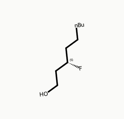 CCCCCC[C@H](F)CCO